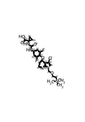 C[Si](C)(C)CCOCn1cc(Cl)c2c(Oc3c(F)cc(NC(=O)NC4(C(=O)O)CC4)cc3F)ccnc21